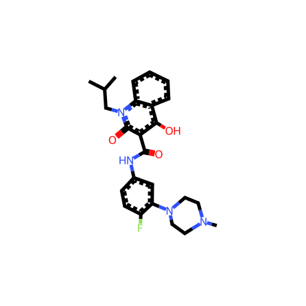 CC(C)Cn1c(=O)c(C(=O)Nc2ccc(F)c(N3CCN(C)CC3)c2)c(O)c2ccccc21